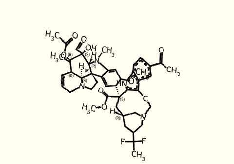 CC[C@]12C=CCN3CC[C@@]4(C5=CC([C@@]6(C(=O)OC)C[C@H]7CC(C(C)(F)F)CN(CCc8c6[nH]c6ccc(C(C)=O)cc86)C7)C(OC)C=C5N(C)[C@H]4[C@@](O)(C=O)[C@@H]1OC(C)=O)[C@@H]32